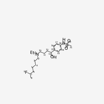 CCN(CCCCCC(C)F)CCCC(O)c1ccc(NS(C)(=O)=O)cc1